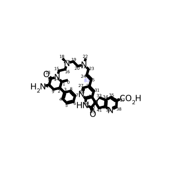 CC1C(c2ccccc2)CC(N)C(=O)N1CCN(C)CCN(C)C/C=C/c1cnc2c(c1)[C@@]1(Cc3cc(C(=O)O)cnc3C1)C(=O)N2